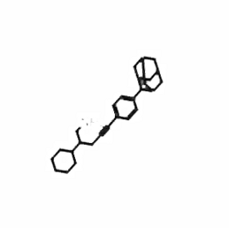 NCC(CC#Cc1ccc(C2C3CC4CC(C3)CC2C4)cc1)C1CCCCC1